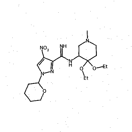 CCOC1(OCC)CCN(C)CC1NC(=N)c1nn(C2CCCCO2)cc1[N+](=O)[O-]